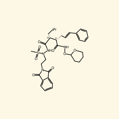 CC(C)C[C@@H](C(=O)NN(CCN1C(=O)c2ccccc2C1=O)S(C)(=O)=O)[C@H](CC=Cc1ccccc1)C(=O)NOC1CCCCO1